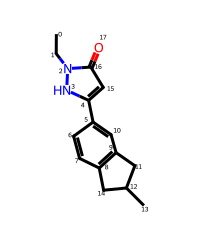 CCn1[nH]c(-c2ccc3c(c2)CC(C)C3)cc1=O